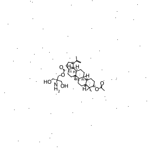 C=C(C)[C@@H]1CC[C@]2(C(=O)OCC(N)(CO)CO)CC[C@]3(C)[C@H](CC[C@@H]4[C@@]5(C)CC[C@H](OC(C)=O)C(C)(C)[C@@H]5CC[C@]43C)[C@@H]12